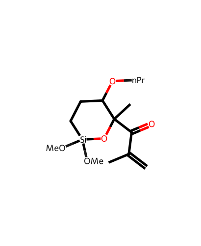 C=C(C)C(=O)C1(C)O[Si](OC)(OC)CCC1OCCC